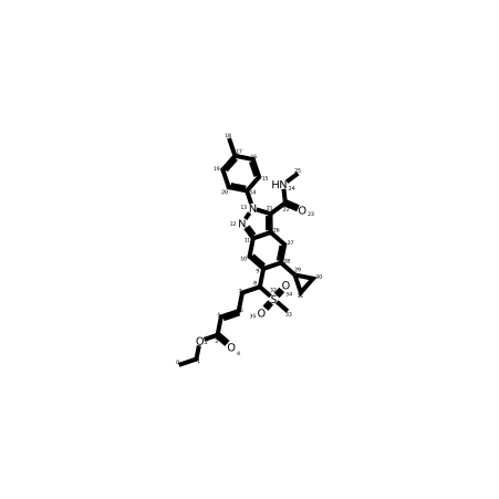 CCOC(=O)C=CCC(c1cc2nn(-c3ccc(C)cc3)c(C(=O)NC)c2cc1C1CC1)S(C)(=O)=O